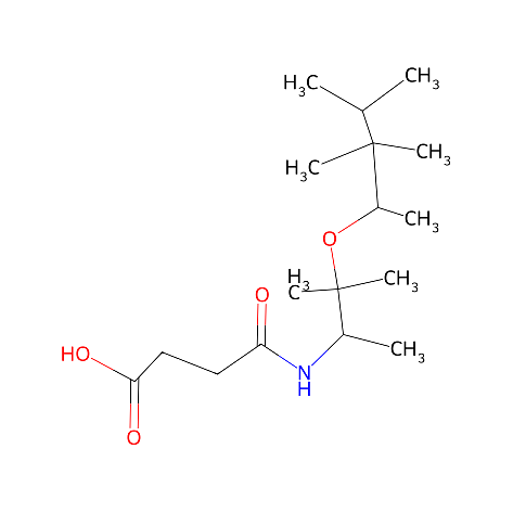 CC(NC(=O)CCC(=O)O)C(C)(C)OC(C)C(C)(C)C(C)C